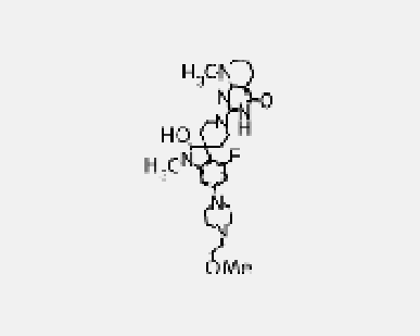 COCCN1CCN(c2cc(F)c3c(c2)N(C)C(O)C32CCN(c3nc4c(c(=O)[nH]3)CCCN4C)CC2)CC1